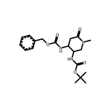 CN1CC(NC(=O)OC(C)(C)C)C(NC(=O)OCc2ccccc2)CC1=O